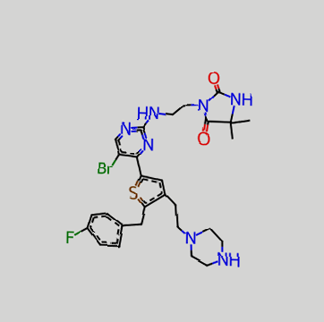 CC1(C)NC(=O)N(CCNc2ncc(Br)c(-c3cc(CCN4CCNCC4)c(Cc4ccc(F)cc4)s3)n2)C1=O